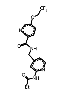 CCC(=O)Nc1cc(CNC(=O)c2ccc(OCC(F)(F)F)cn2)ccn1